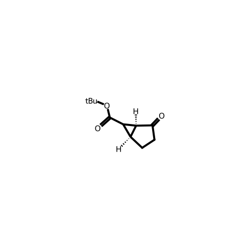 CC(C)(C)OC(=O)C1[C@H]2C(=O)CC[C@@H]12